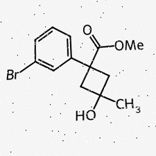 COC(=O)C1(c2cccc(Br)c2)CC(C)(O)C1